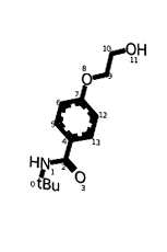 CC(C)(C)NC(=O)c1ccc(OCCO)cc1